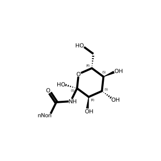 CCCCCCCCCC(=O)N[C@@]1(O)O[C@H](CO)[C@@H](O)[C@H](O)[C@H]1O